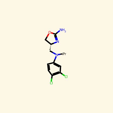 CC(C)N(C[C@@H]1COC(N)=N1)c1ccc(Cl)c(Cl)c1